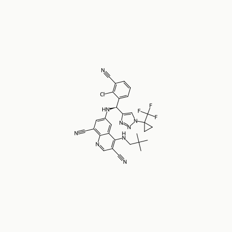 CC(C)(C)CNc1c(C#N)cnc2c(C#N)cc(N[C@H](c3cn(C4(C(F)(F)F)CC4)nn3)c3cccc(C#N)c3Cl)cc12